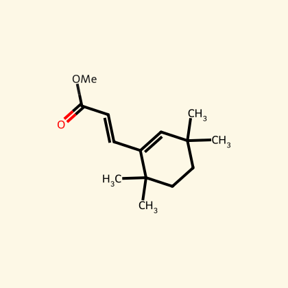 COC(=O)/C=C/C1=CC(C)(C)CCC1(C)C